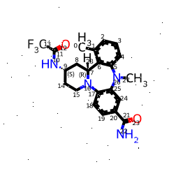 Cc1cccc2c1[C@H]1C[C@@H](NC(=O)C(F)(F)F)CCN1c1ccc(C(N)=O)cc1N2C